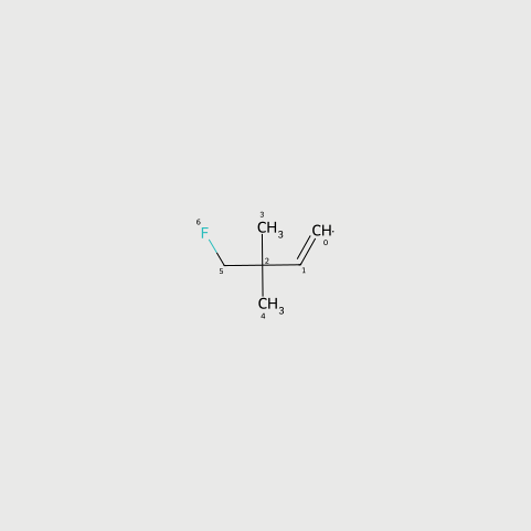 [CH]=CC(C)(C)CF